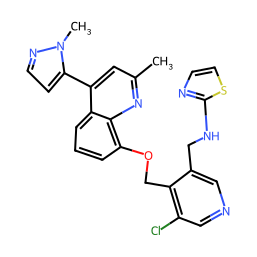 Cc1cc(-c2ccnn2C)c2cccc(OCc3c(Cl)cncc3CNc3nccs3)c2n1